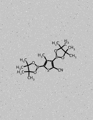 Cc1c(B2OC(C)(C)C(C)(C)O2)sc(C#N)c1B1OC(C)(C)C(C)(C)O1